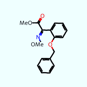 CO/N=C(/C(=O)OC)c1ccccc1OCc1ccccc1